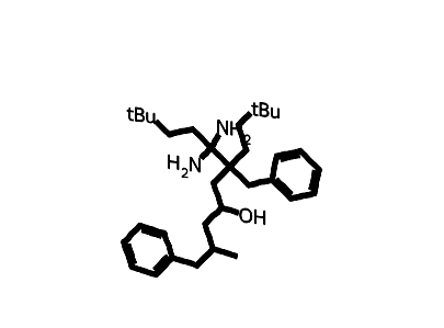 CC(Cc1ccccc1)CC(O)CC(CCC(C)(C)C)(Cc1ccccc1)C(N)(N)CCC(C)(C)C